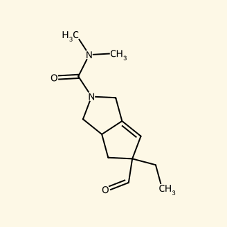 CCC1(C=O)C=C2CN(C(=O)N(C)C)CC2C1